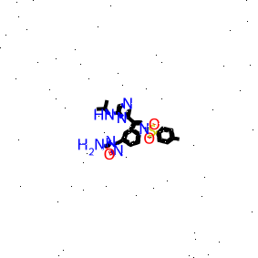 Cc1ccc(S(=O)(=O)n2cc(-c3cncc(NC(C)C)n3)c3cc(-c4noc(N)n4)ccc32)cc1